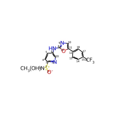 CN(O)[S+]([O-])c1ccc(Nc2ncc(-c3ccc(C(F)(F)F)cc3)o2)cn1